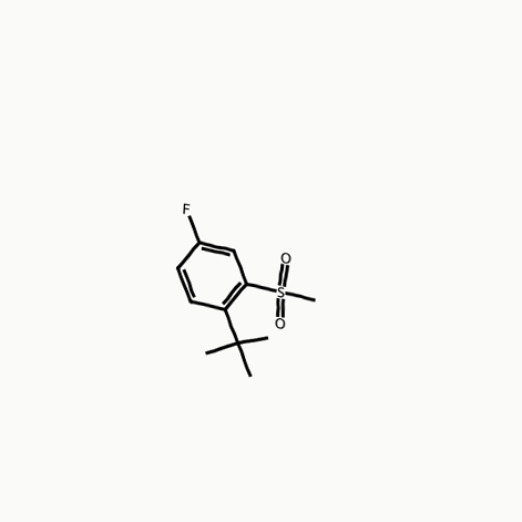 CC(C)(C)c1ccc(F)cc1S(C)(=O)=O